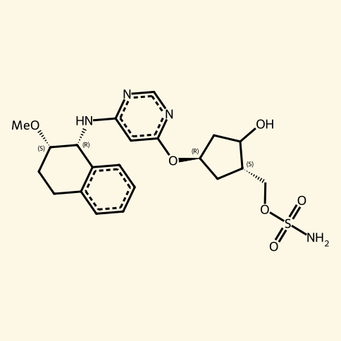 CO[C@H]1CCc2ccccc2[C@H]1Nc1cc(O[C@H]2CC(O)[C@H](COS(N)(=O)=O)C2)ncn1